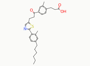 CCCCCCc1ccc(-c2ncc(CCC(=O)c3ccc(CCC(=O)O)c(C)c3)s2)c(C)c1